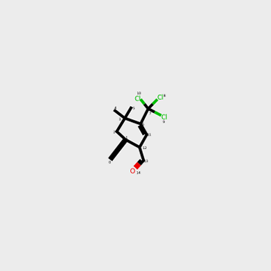 C=C1CC(C)(C)C(C(Cl)(Cl)Cl)=CC1C=O